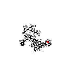 CSCC[C@H](NC(=O)[C@H](CCC(=O)O)NC(=O)CNC(=O)[C@@H](N)CS)C(=O)NCC(=O)N[C@@H](Cc1c[nH]c2ccccc12)C(=O)N[C@H](C(=O)N[C@@H](CCCNC(=N)N)C(=O)N[C@@H](CS)C(=O)N[C@@H](CC(=O)O)C(=O)N[C@@H](C)C(=O)N[C@@H](CC(=O)O)C(=O)N[C@@H](CC(C)C)C(=O)N1CCC[C@H]1C(=O)O)C(C)C